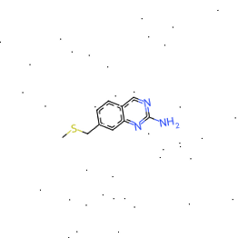 CSCc1ccc2cnc(N)nc2c1